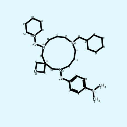 CN(C)c1ccc(SN2CCCN(CC3CCCCC3)CCCN(SN3CCCCC3)CC3(COC3)C2)cc1